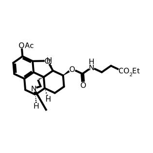 CCOC(=O)CCNC(=O)O[C@H]1CC[C@H]2[C@H]3Cc4ccc(OC(C)=O)c5c4[C@@]2(CCN3C)[C@H]1O5